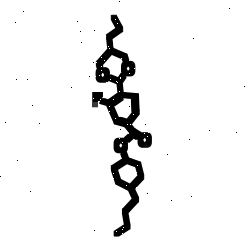 CCCCC1CCC(OC(=O)c2ccc(C3OCC(CCC)CO3)c(F)c2)CC1